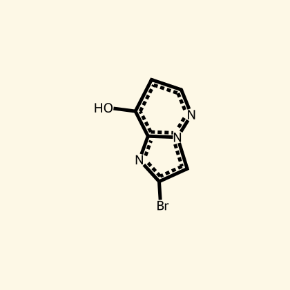 Oc1ccnn2cc(Br)nc12